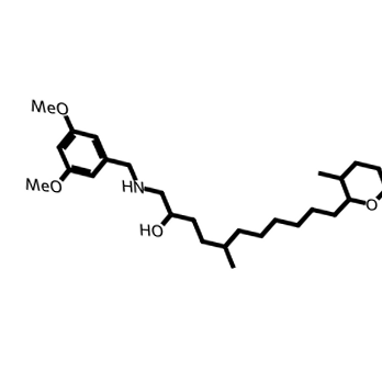 COc1cc(CNCC(O)CCC(C)CCCCCCC2OCCCC2C)cc(OC)c1